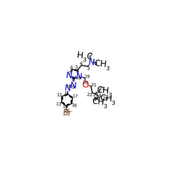 CN(C)CCc1cnc(N=Nc2ccc(Br)cc2)n1COCC[Si](C)(C)C